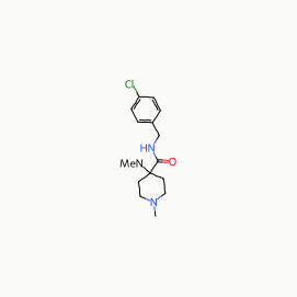 CNC1(C(=O)NCc2ccc(Cl)cc2)CCN(C)CC1